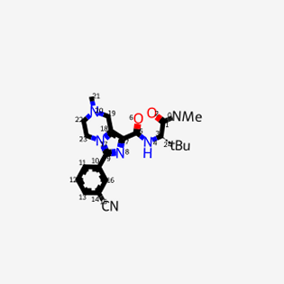 CNC(=O)[C@@H](NC(=O)c1nc(-c2cccc(C#N)c2)n2c1CN(C)CC2)C(C)(C)C